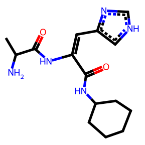 CC(N)C(=O)NC(=Cc1c[nH]cn1)C(=O)NC1CCCCC1